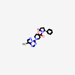 N#Cc1cnn2c(N3CCC4(CC3)O[C@@H]3CC[C@@H](c5ccccc5)N3C4=O)ncnc12